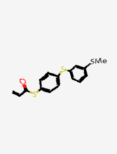 C=CC(=O)Sc1ccc(Sc2cccc(SC)c2)cc1